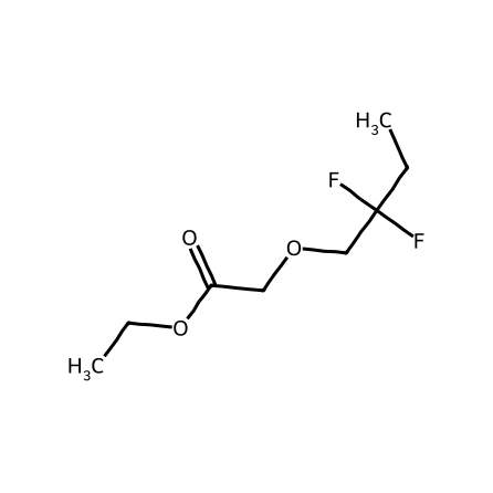 CCOC(=O)COCC(F)(F)CC